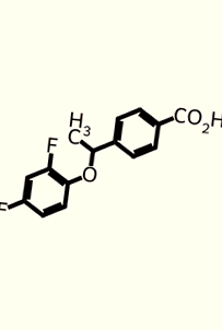 CC(Oc1ccc(F)cc1F)c1ccc(C(=O)O)cc1